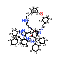 C1=C(/c2cc(NC(c3ccccc3)(c3ccccc3)c3ccccc3)nc3c2nnn3C(c2ccccc2)(c2ccccc2)c2ccccc2)c2cnn(c2)Cc2cccc(c2)Oc2cccc(c2)CCNC/1